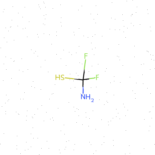 NC(F)(F)S